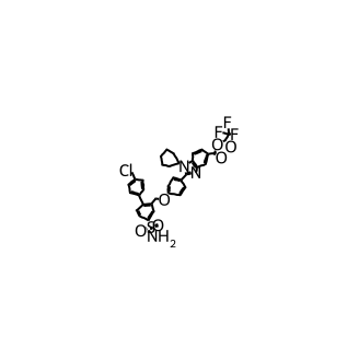 NS(=O)(=O)c1ccc(-c2ccc(Cl)cc2)c(COc2ccc(-c3nc4cc(C(=O)OC(=O)C(F)(F)F)ccc4n3C3CCCCC3)cc2)c1